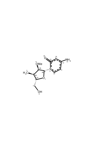 CO[C@@H]1[C@H](C)[C@@H](CO)O[C@H]1n1ccc(N)nc1=O